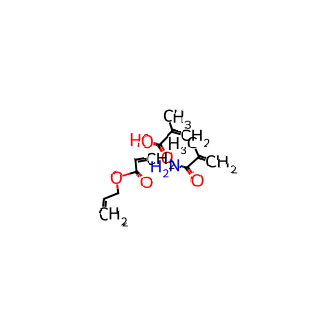 C=C(C)C(=O)O.C=C(C)C(N)=O.C=CCOC(=O)C=C